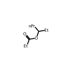 [CH2]CC(CCC)OC(=O)CC